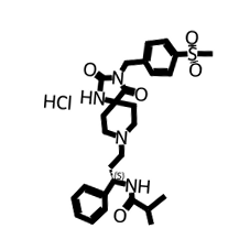 CC(C)C(=O)N[C@@H](CCN1CCC2(CC1)NC(=O)N(Cc1ccc(S(C)(=O)=O)cc1)C2=O)c1ccccc1.Cl